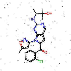 Cc1cc(-n2c(C(=O)c3ccccc3Cl)cc3cnc(NC(C)C(C)(C)O)nc32)no1